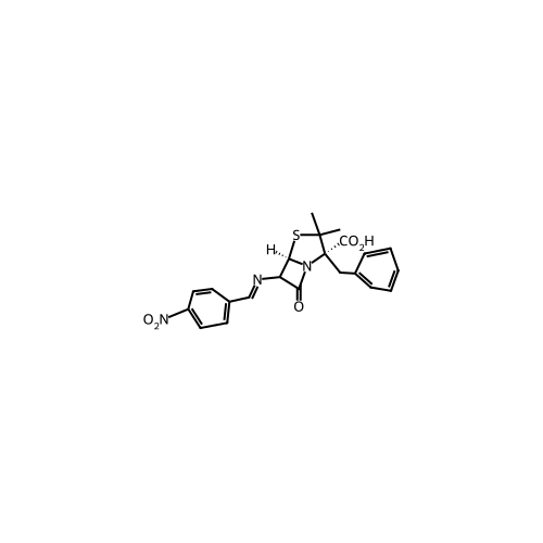 CC1(C)S[C@@H]2C(/N=C/c3ccc([N+](=O)[O-])cc3)C(=O)N2[C@@]1(Cc1ccccc1)C(=O)O